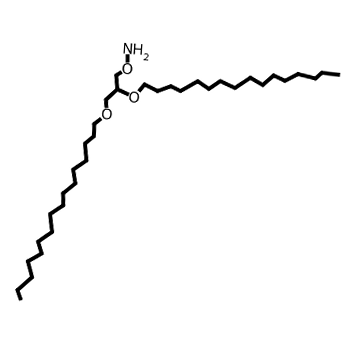 CCCCCCCCCCCCCCCCOCC(CON)OCCCCCCCCCCCCCCCC